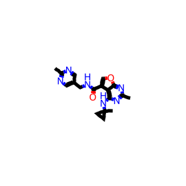 Cc1ncc(CNC(=O)c2coc3nc(C)nc(NC4(C)CC4)c23)cn1